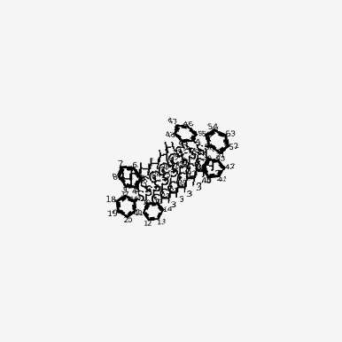 C[Si](C)([Si](c1ccccc1)(c1ccccc1)c1ccccc1)[Si](C)(C)[Si](C)(C)[Si](C)(C)[Si](C)(C)[Si](C)(C)[Si](c1ccccc1)(c1ccccc1)c1ccccc1